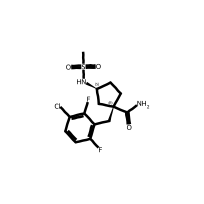 CS(=O)(=O)N[C@H]1CC[C@](Cc2c(F)ccc(Cl)c2F)(C(N)=O)C1